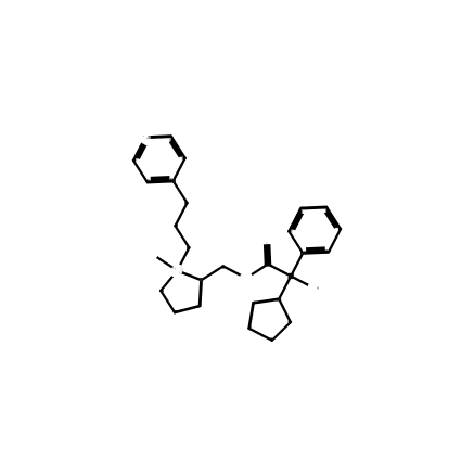 C[N+]1(CCCc2ccncc2)CCCC1COC(=O)C(O)(c1ccccc1)C1CCCC1